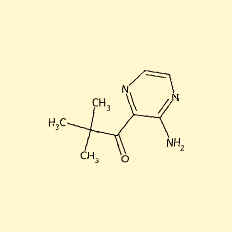 CC(C)(C)C(=O)c1nccnc1N